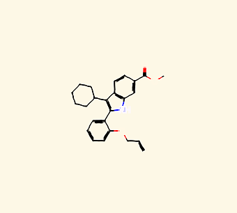 C=CCOc1ccccc1-c1[nH]c2cc(C(=O)OC)ccc2c1C1CCCCC1